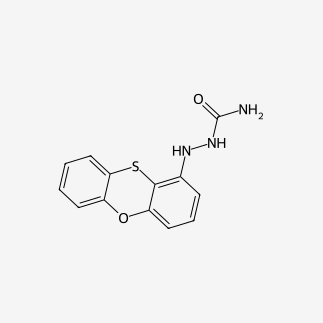 NC(=O)NNc1cccc2c1Sc1ccccc1O2